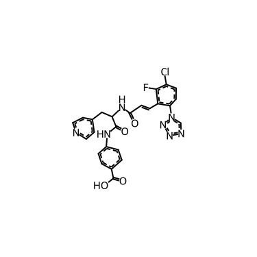 O=C(C=Cc1c(-n2cnnn2)ccc(Cl)c1F)NC(Cc1ccncc1)C(=O)Nc1ccc(C(=O)O)cc1